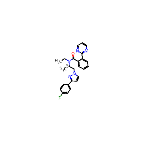 CCN(C(=O)c1ccccc1-c1ncccn1)[C@@H](C)Cn1ccc(-c2ccc(F)cc2)n1